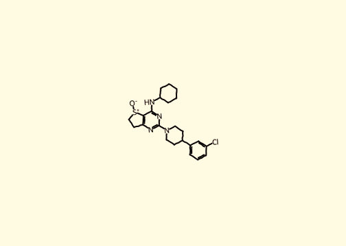 [O-][S+]1CCc2nc(N3CCC(c4cccc(Cl)c4)CC3)nc(NC3CCCCC3)c21